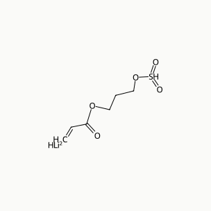 C=CC(=O)OCCCO[SH](=O)=O.[LiH]